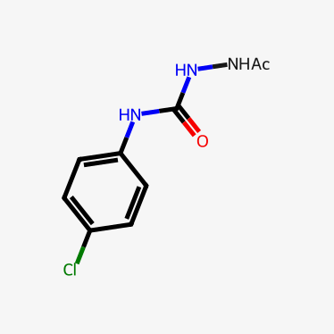 CC(=O)NNC(=O)Nc1ccc(Cl)cc1